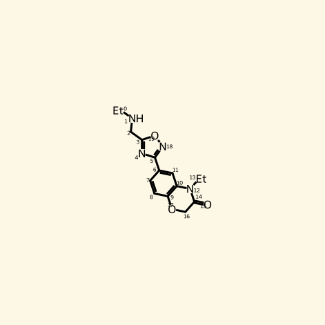 CCNCc1nc(-c2ccc3c(c2)N(CC)C(=O)CO3)no1